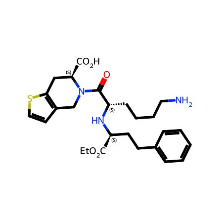 CCOC(=O)[C@H](CCc1ccccc1)N[C@@H](CCCCN)C(=O)N1Cc2ccsc2C[C@H]1C(=O)O